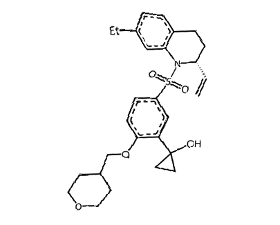 C=C[C@H]1CCc2ccc(CC)cc2N1S(=O)(=O)c1ccc(OCC2CCOCC2)c(C2(O)CC2)c1